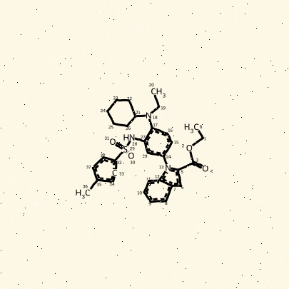 CCOC(=O)c1cc2ccccc2n1-c1ccc(N(CC)C2CCCCC2)c(NS(=O)(=O)c2ccc(C)cc2)c1